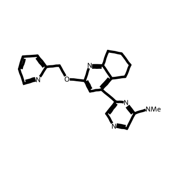 CNc1cncc(-c2cc(OCc3ccccn3)nc3c2CCCC3)n1